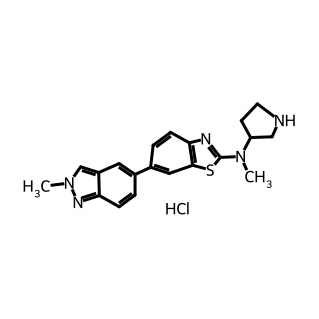 CN(c1nc2ccc(-c3ccc4nn(C)cc4c3)cc2s1)C1CCNC1.Cl